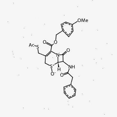 COc1ccc(COC(=O)C2=C(CSC(C)=O)C[S+]([O-])[C@H]3C(NC(=O)Cc4ccccc4)C(=O)N23)cc1